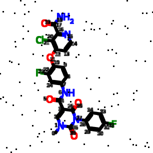 Cn1cc(C(=O)Nc2ccc(Oc3ccnc(C(N)=O)c3Cl)c(F)c2)c(=O)n(-c2ccc(F)cc2)c1=O